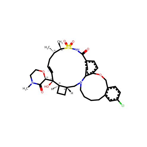 C[C@@H]1[C@@H](C)C/C=C/[C@@](O)([C@@H]2OCCN(C)C2=O)[C@@H]2CC[C@H]2CN2CCCCc3cc(Cl)ccc3COc3ccc(cc32)C(=O)NS1(=O)=O